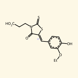 CCOc1cc(/C=C2\SC(=S)N(CCC(=O)O)C2=O)ccc1O